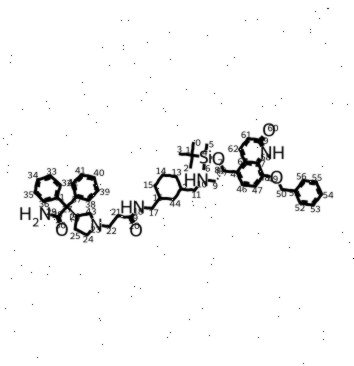 CC(C)(C)[Si](C)(C)O[C@@H](CNCC1CCCC(CNC(=O)CCN2CC[C@@H](C(C(N)=O)(c3ccccc3)c3ccccc3)C2)C1)c1ccc(OCc2ccccc2)c2[nH]c(=O)ccc12